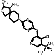 C[C@@H]1OCC2(CCN(c3cnc(Sc4cncc(P(C)(C)=O)c4Cl)cn3)CC2)[C@@H]1N